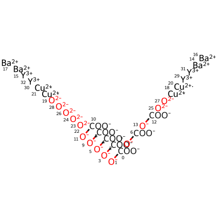 O=C([O-])[O-].O=C([O-])[O-].O=C([O-])[O-].O=C([O-])[O-].O=C([O-])[O-].O=C([O-])[O-].O=C([O-])[O-].[Ba+2].[Ba+2].[Ba+2].[Ba+2].[Cu+2].[Cu+2].[Cu+2].[Cu+2].[O-2].[O-2].[O-2].[O-2].[O-2].[O-2].[O-2].[Y+3].[Y+3].[Y+3].[Y+3]